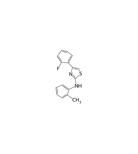 Cc1ccccc1Nc1nc(-c2ccccc2F)[c]s1